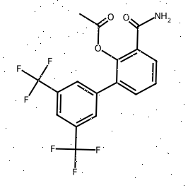 CC(=O)Oc1c(C(N)=O)cccc1-c1cc(C(F)(F)F)cc(C(F)(F)F)c1